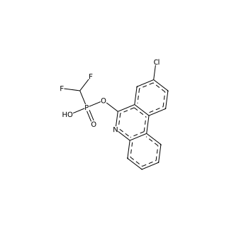 O=P(O)(Oc1nc2ccccc2c2ccc(Cl)cc12)C(F)F